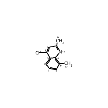 Cc1cc(Cl)c2cccc(C)c2n1